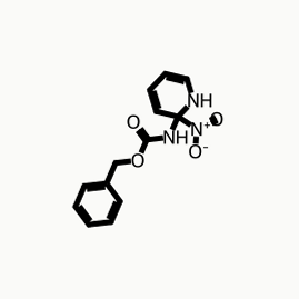 O=C(NC1([N+](=O)[O-])C=CC=CN1)OCc1ccccc1